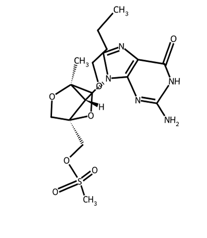 CCCCO[C@@H]1[C@]2(COS(C)(=O)=O)CO[C@@]1(C)[C@H](n1cnc3c(=O)[nH]c(N)nc31)O2